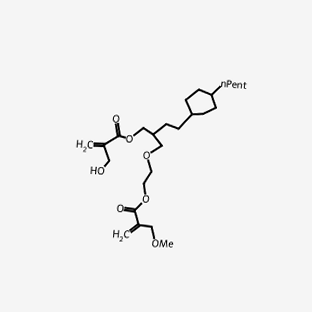 C=C(CO)C(=O)OCC(CCC1CCC(CCCCC)CC1)COCCOC(=O)C(=C)COC